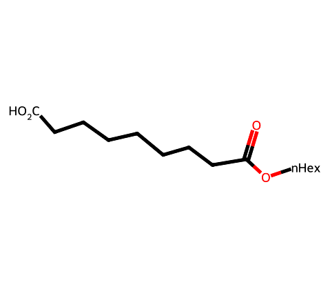 CCCCCCOC(=O)CCCCCCCC(=O)O